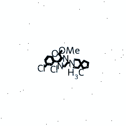 COC(=O)c1nc(N2CCC3(CCC[C@H]3C)CC2)cnc1-c1cccc(Cl)c1Cl